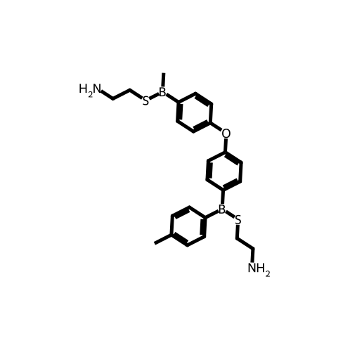 CB(SCCN)c1ccc(Oc2ccc(B(SCCN)c3ccc(C)cc3)cc2)cc1